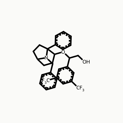 OCC(OC1CCC2CCC1(c1ccccc1)N2Cc1ccccc1)c1cc(C(F)(F)F)cc(C(F)(F)F)c1